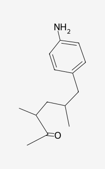 CC(=O)C(C)CC(C)Cc1ccc(N)cc1